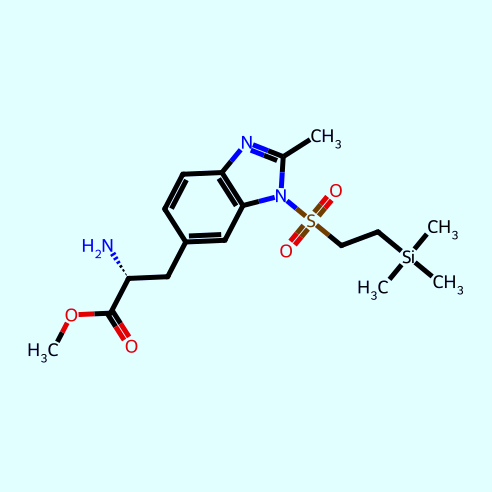 COC(=O)[C@H](N)Cc1ccc2nc(C)n(S(=O)(=O)CC[Si](C)(C)C)c2c1